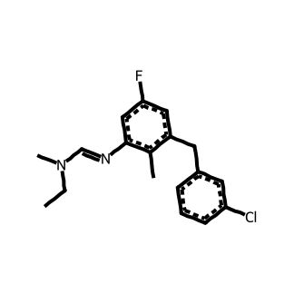 CCN(C)C=Nc1cc(F)cc(Cc2cccc(Cl)c2)c1C